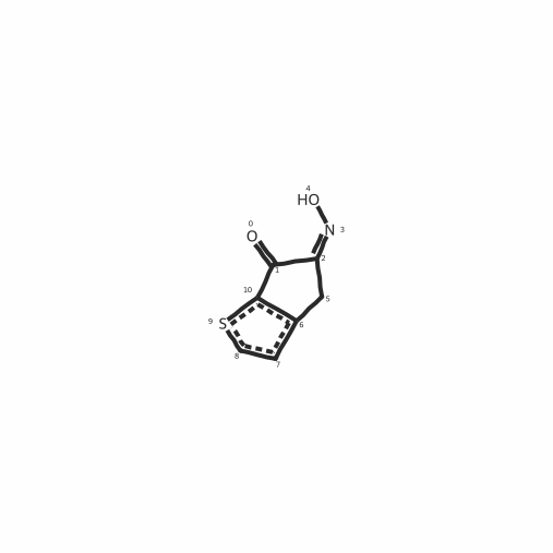 O=C1/C(=N\O)Cc2ccsc21